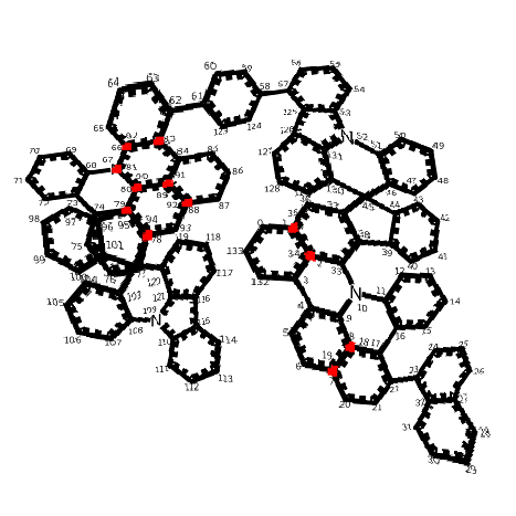 c1ccc(-c2ccccc2N(c2ccccc2-c2ccccc2-c2cccc3ccccc23)c2cccc3c2-c2ccccc2C32c3ccccc3-n3c4cccc(-c5ccc(-c6cccc(N(c7ccccc7-c7ccccc7-c7cccc8ccccc78)c7cccc8c7-c7ccccc7C87c8ccccc8-n8c9ccccc9c9cccc7c98)c6)cc5)c4c4cccc2c43)cc1